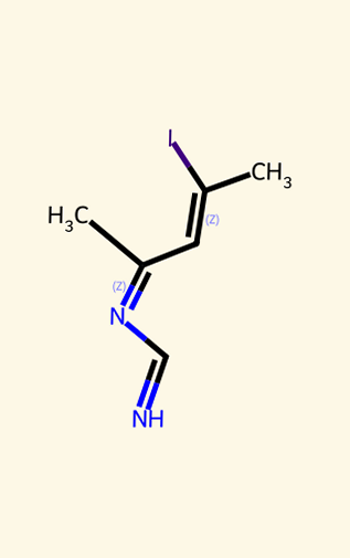 C/C(I)=C/C(C)=N\C=N